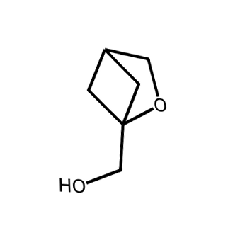 OCC12CC(CO1)C2